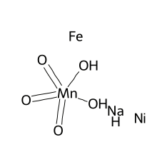 [Fe].[NaH].[Ni].[O]=[Mn](=[O])(=[O])([OH])[OH]